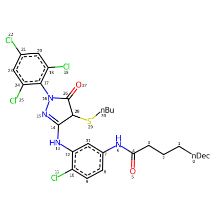 CCCCCCCCCCCCCC(=O)Nc1ccc(Cl)c(NC2=NN(c3c(Cl)cc(Cl)cc3Cl)C(=O)C2SCCCC)c1